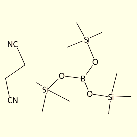 C[Si](C)(C)OB(O[Si](C)(C)C)O[Si](C)(C)C.N#CCCC#N